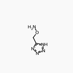 NOCc1nnn[nH]1